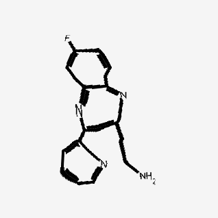 NCCc1nc2ccc(F)cc2nc1-c1ccccn1